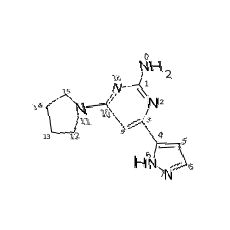 Nc1nc(-c2ccn[nH]2)cc(N2CCCC2)n1